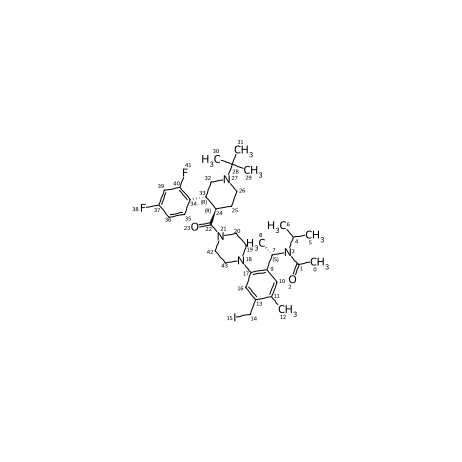 CC(=O)N(C(C)C)[C@@H](C)c1cc(C)c(CI)cc1N1CCN(C(=O)[C@@H]2CCN(C(C)(C)C)C[C@H]2c2ccc(F)cc2F)CC1